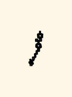 Cc1ccc(OC(=O)c2ccc(OCCCCOCC3(C)COC3)cc2)cc1